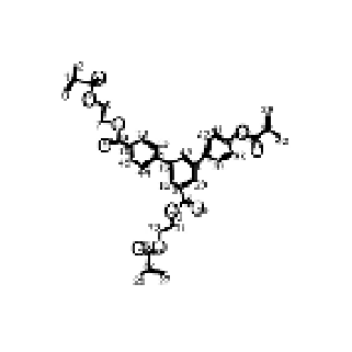 C=C(C)C(=O)OCCOC(=O)c1ccc(-c2cc(C(=O)OCCOC(=O)C(=C)C)cc(-c3ccc(OC(=O)C(=C)C)cc3)c2)cc1